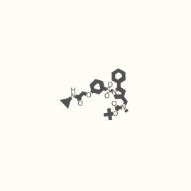 CN(Cc1cc(C2=CCCCC2)n(S(=O)(=O)c2cccc(OCC(=O)NC3CC3)c2)c1)C(=O)OC(C)(C)C